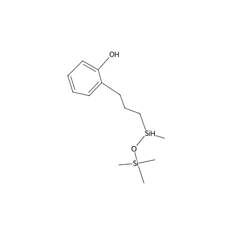 C[SiH](CCCc1ccccc1O)O[Si](C)(C)C